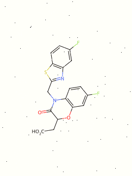 O=C(O)CC1Oc2cc(F)ccc2N(Cc2nc3cc(F)ccc3s2)C1=O